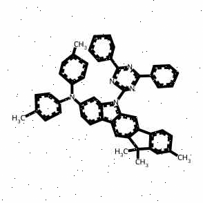 Cc1ccc(N(c2ccc(C)cc2)c2ccc3c4cc5c(cc4n(-c4nc(-c6ccccc6)nc(-c6ccccc6)n4)c3c2)-c2ccc(C)cc2C5(C)C)cc1